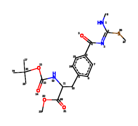 CN/C(=N\C(=O)c1ccc(CC(NC(=O)OC(C)(C)C)C(=O)OC)cc1)SC